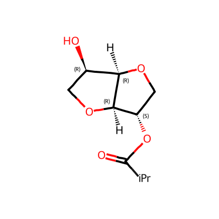 CC(C)C(=O)O[C@H]1CO[C@H]2[C@@H]1OC[C@H]2O